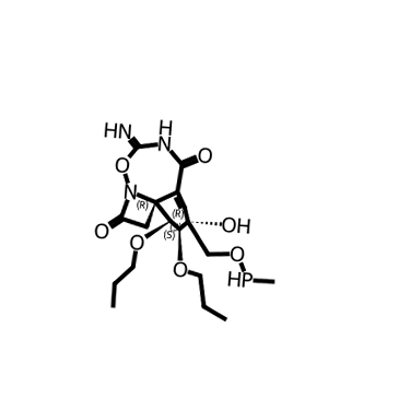 CCCO[C@@H]1[C@H](OCCC)[C@](O)(COPC)C=C2C(=O)NC(=N)ON3C(=O)C[C@@]213